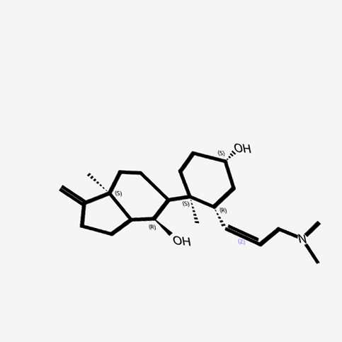 C=C1CCC2[C@H](O)C([C@@]3(C)CC[C@H](O)C[C@@H]3/C=C\CN(C)C)CC[C@]12C